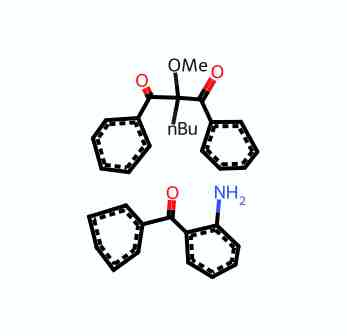 CCCCC(OC)(C(=O)c1ccccc1)C(=O)c1ccccc1.Nc1ccccc1C(=O)c1ccccc1